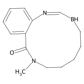 CN1CCCCCB/C=N\c2ccccc2C1=O